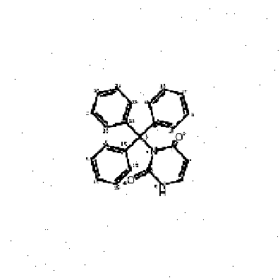 O=c1cc[nH]c(=O)n1C(c1ccccc1)(c1ccccc1)c1ccccc1